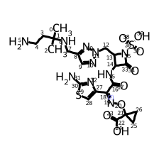 CC(C)(CCN)NCc1cnn(CC2C(NC(=O)/C(=N\OC3(C(=O)O)CC3)c3csc(N)n3)C(=O)N2S(=O)(=O)O)n1